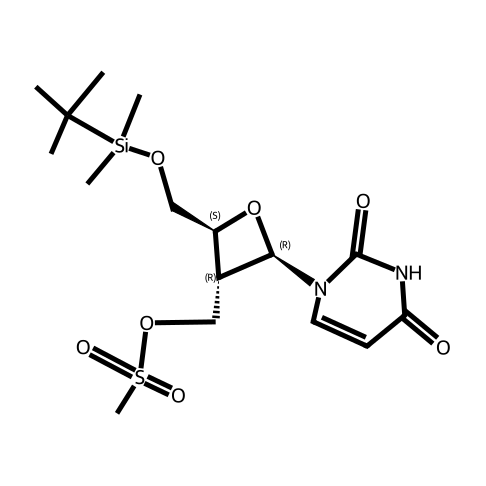 CC(C)(C)[Si](C)(C)OC[C@H]1O[C@@H](n2ccc(=O)[nH]c2=O)[C@@H]1COS(C)(=O)=O